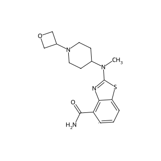 CN(c1nc2c(C(N)=O)[c]ccc2s1)C1CCN(C2COC2)CC1